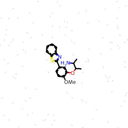 COc1ccc(-c2nc3ccccc3s2)cc1OC(C)C(C)N